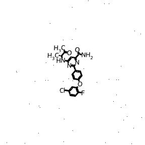 CC(=O)[C@H](C)Nc1cc(C(N)=O)nc(-c2ccc(Oc3cc(Cl)ccc3F)cc2)n1